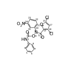 O=C(Nc1ccccc1)ON(C(=O)c1oc(Cl)cc1Cl)c1cccc([N+](=O)[O-])c1